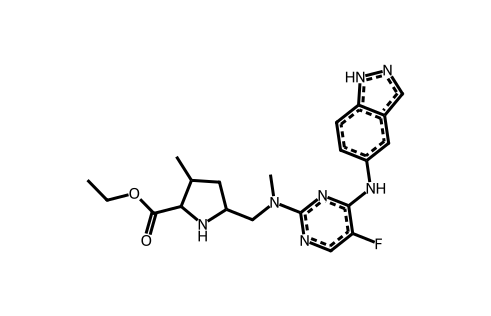 CCOC(=O)C1NC(CN(C)c2ncc(F)c(Nc3ccc4[nH]ncc4c3)n2)CC1C